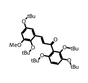 COc1cc(OC(C)(C)C)cc(C=CC(=O)c2c(OC(C)(C)C)ccc(OC(C)(C)C)c2OC(C)(C)C)c1OC(C)(C)C